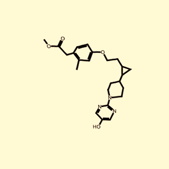 COC(=O)Cc1ccc(OCCC2CC2C2CCN(c3ncc(O)cn3)CC2)cc1C